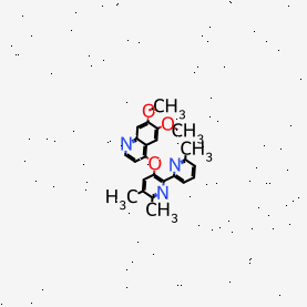 COc1cc2nccc(Oc3cc(C)c(C)nc3-c3cccc(C)n3)c2cc1OC